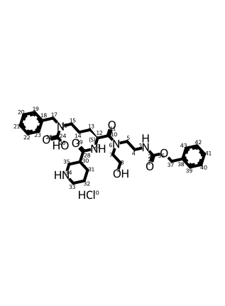 Cl.O=C(NCCN(CCO)C(=O)[C@H](CCCN(Cc1ccccc1)C(=O)O)NC(=O)C1CCCNC1)OCc1ccccc1